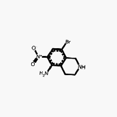 Nc1c([N+](=O)[O-])cc(Br)c2c1CCNC2